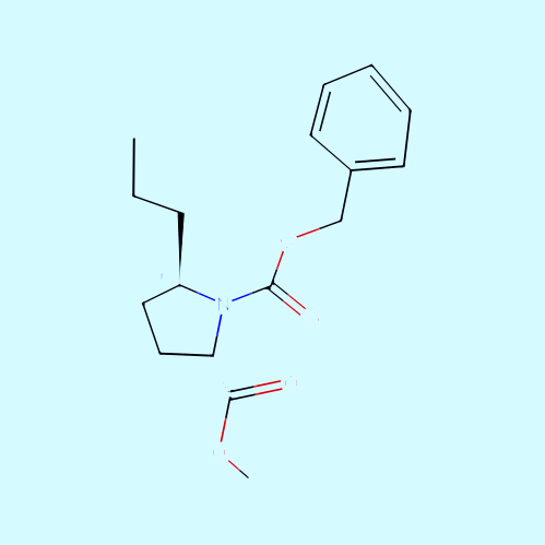 CCC[C@@H]1CC[C@@H](C(=O)OC)N1C(=O)OCc1ccccc1